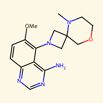 COc1ccc2ncnc(N)c2c1N1CC2(COCCN2C)C1